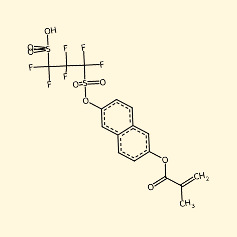 C=C(C)C(=O)Oc1ccc2cc(OS(=O)(=O)C(F)(F)C(F)(F)C(F)(F)S(=O)(=O)O)ccc2c1